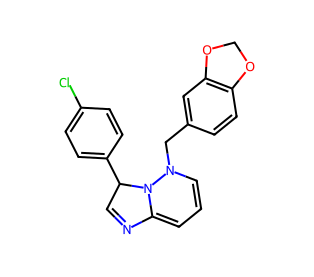 Clc1ccc(C2C=NC3=CC=CN(Cc4ccc5c(c4)OCO5)N32)cc1